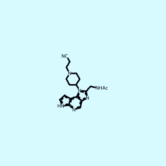 CC(=O)NCc1nc2cnc3[nH]ccc3c2n1C1CCN(CCC#N)CC1